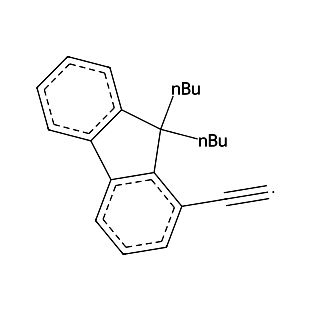 [C]#Cc1cccc2c1C(CCCC)(CCCC)c1ccccc1-2